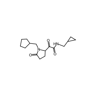 O=C(NCC1CC1)C(=O)C1CCC(=O)N1CC1CCCC1